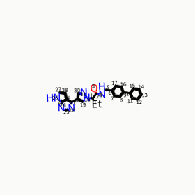 CCC(C(=O)NCc1ccc(-c2ccccc2)cc1)n1cc(-c2ncnc3[nH]ccc23)cn1